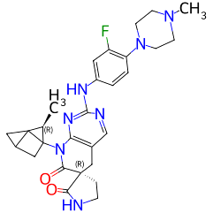 C[C@@H]1C23CC2CC13N1C(=O)[C@@]2(CCNC2=O)Cc2cnc(Nc3ccc(N4CCN(C)CC4)c(F)c3)nc21